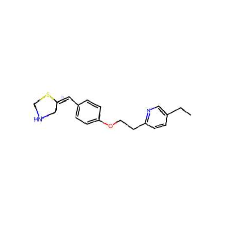 CCc1ccc(CCOc2ccc(/C=C3\CNCS3)cc2)nc1